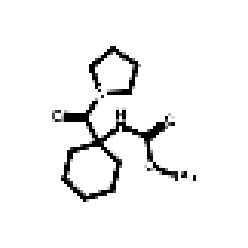 CC(C)(C)OC(=O)NC1(C(=O)N2CCCC2)CCCCC1